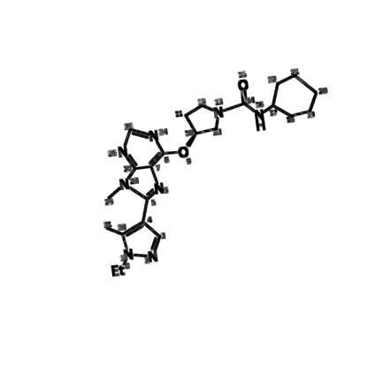 CCn1ncc(-c2nc3c(O[C@H]4CCN(C(=O)NC5CCCCC5)C4)ncnc3n2C)c1C